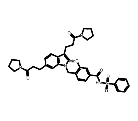 COc1cc(C(=O)NS(=O)(=O)c2ccccc2)ccc1Cn1cc(CCC(=O)N2CCCC2)c2ccc(CCC(=O)N3CCCC3)cc21